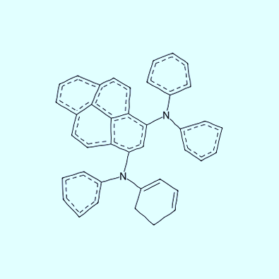 C1=CCCC(N(c2ccccc2)c2cc(N(c3ccccc3)c3ccccc3)c3ccc4cccc5ccc2c3c54)=C1